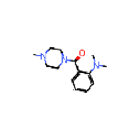 CN1CCN(C(=O)c2c[c]ccc2N(C)C)CC1